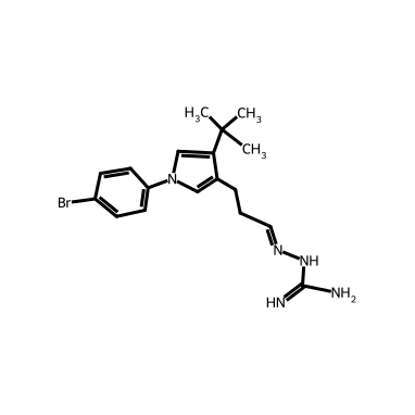 CC(C)(C)c1cn(-c2ccc(Br)cc2)cc1CC/C=N/NC(=N)N